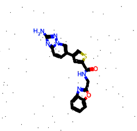 Nc1nc2ccc(-c3csc(C(=O)NCc4nc5ccccc5o4)c3)cn2n1